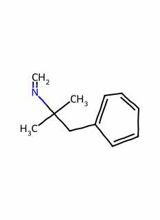 C=NC(C)(C)Cc1ccccc1